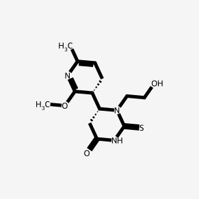 COC1=NC(C)=CC[C@@H]1[C@H]1CC(=O)NC(=S)N1CCO